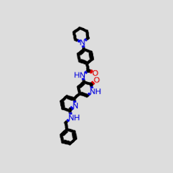 O=C(Nc1cc(-c2cccc(NCc3ccccc3)n2)c[nH]c1=O)c1ccc(N2CCCCC2)cc1